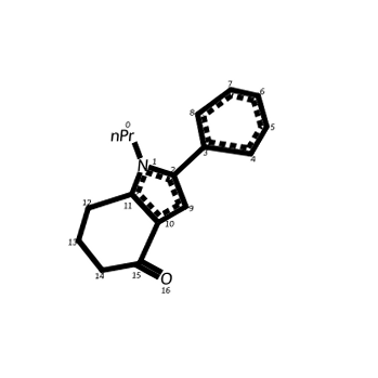 CCCn1c(-c2ccccc2)cc2c1CCCC2=O